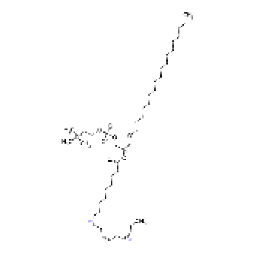 CC/C=C\C/C=C\C/C=C\CCCCCCCC(=O)O[C@H](COCCCCCCCCCCCCCCCCCC)COP(=O)([O-])OCC[N+](C)(C)C